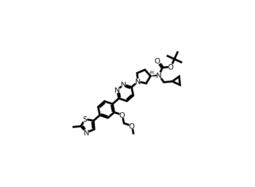 COCOc1cc(-c2cnc(C)s2)ccc1-c1ccc(N2CC[C@@H](N(CC3CC3)C(=O)OC(C)(C)C)C2)nn1